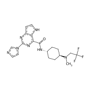 CN(CC(F)(F)F)[C@H]1CC[C@H](NC(=O)c2nc(-n3ccnc3)nc3cc[nH]c23)CC1